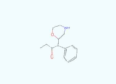 CCC(=O)C(c1ccccc1)C1CNCCO1